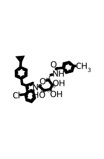 Cc1ccc(C(=O)NC[C@H]2O[C@@H](n3cc(Cc4ccc(C5CC5)cc4)c4c(Cl)cccc43)[C@H](O)[C@@H](O)[C@@H]2O)cc1